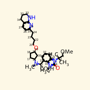 COCC(C)(C)n1c(=O)n(C)c2c([C@@H](C(=O)O)N(C)[C@H]3CC[C@H](OCCCCc4ccc5c(n4)NCCC5)C3)cccc21